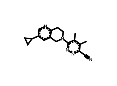 Cc1c(C#N)nnc(N2CCc3ncc(C4CC4)cc3C2)c1C